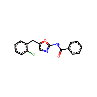 O=C(Nc1ncc(Cc2ccccc2Cl)o1)c1ccccc1